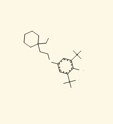 CC(C)(C)c1cc(SCCC2(CO)CCCCC2)cc(C(C)(C)C)c1O